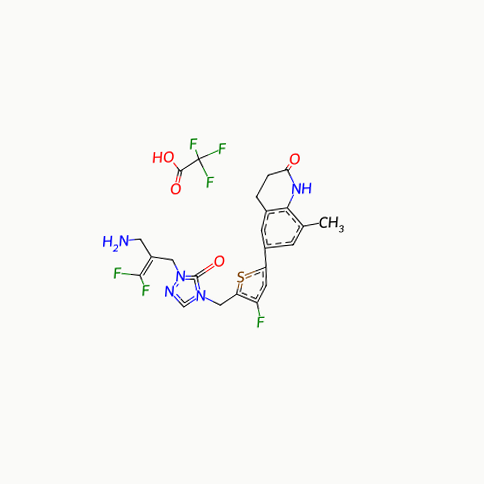 Cc1cc(-c2cc(F)c(Cn3cnn(CC(CN)=C(F)F)c3=O)s2)cc2c1NC(=O)CC2.O=C(O)C(F)(F)F